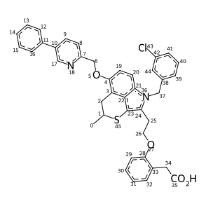 CC1Cc2c(OCc3ccc(-c4ccccc4)cn3)ccc3c2c(c(CCOc2ccccc2CC(=O)O)n3Cc2cccc(Cl)c2)S1